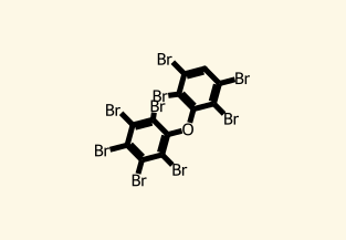 Brc1cc(Br)c(Br)c(Oc2c(Br)c(Br)c(Br)c(Br)c2Br)c1Br